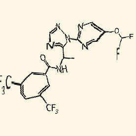 CC(NC(=O)c1cc(C(F)(F)F)cc(C(F)(F)F)c1)c1ncnn1-c1ncc(OC(F)F)cn1